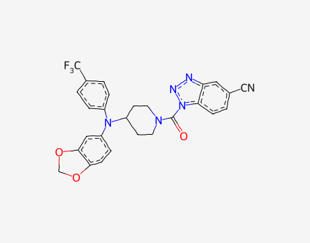 N#Cc1ccc2c(c1)nnn2C(=O)N1CCC(N(c2ccc(C(F)(F)F)cc2)c2ccc3c(c2)OCO3)CC1